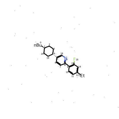 CCCC[C@H]1CC[C@H](c2ccc(-c3ccc(CC)cc3F)nc2)CC1